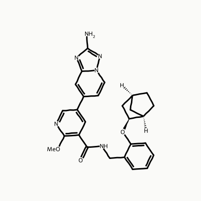 COc1ncc(-c2ccn3nc(N)nc3c2)cc1C(=O)NCc1ccccc1O[C@H]1C[C@H]2CC[C@@H]1C2